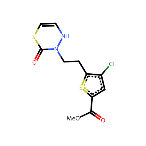 COC(=O)c1cc(Cl)c(CCN2NC=CSC2=O)s1